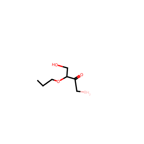 BCC(=O)C(CO)OCCC